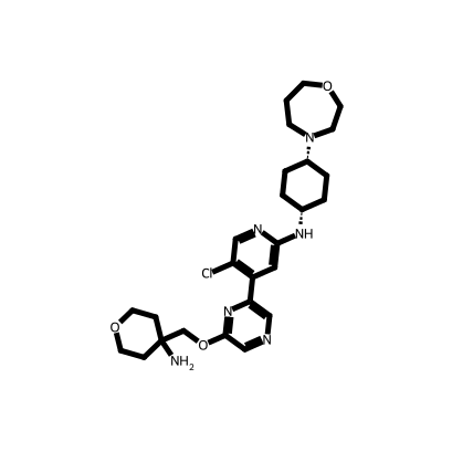 NC1(COc2cncc(-c3cc(N[C@H]4CC[C@@H](N5CCCOCC5)CC4)ncc3Cl)n2)CCOCC1